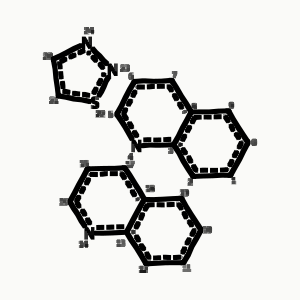 c1ccc2ncccc2c1.c1ccc2ncccc2c1.c1csnn1